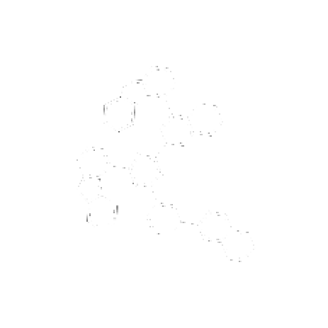 C1=CC(c2nc(-c3cc(-c4cccc5oc6ccccc6c45)c4ccccc4c3)nc(-c3cccc4oc5ccccc5c34)n2)=CC(c2ccc3ccccc3c2)C1